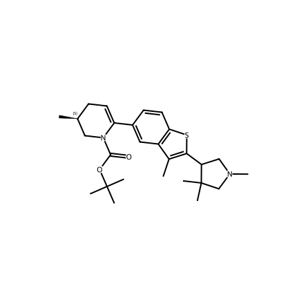 Cc1c(C2CN(C)CC2(C)C)sc2ccc(C3=CC[C@H](C)CN3C(=O)OC(C)(C)C)cc12